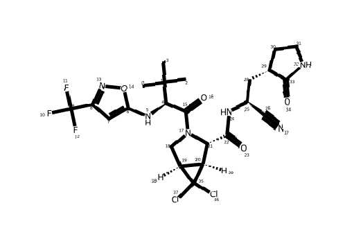 CC(C)(C)[C@H](Nc1cc(C(F)(F)F)no1)C(=O)N1C[C@H]2[C@@H]([C@H]1C(=O)N[C@H](C#N)C[C@@H]1CCNC1=O)C2(Cl)Cl